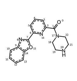 O=C(c1cccc(-c2nc3ccccc3o2)n1)N1CCNCC1